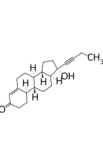 CCC#C[C@]1(O)CC[C@H]2[C@@H]3CCC4=CC(=O)CC[C@@H]4[C@H]3CC[C@@H]21